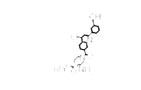 C#Cc1cccc(-c2cc(Cl)c3ccc(C(=O)N4CCN(C(=O)OCCC)[C@H](N)C4)cc3n2)c1